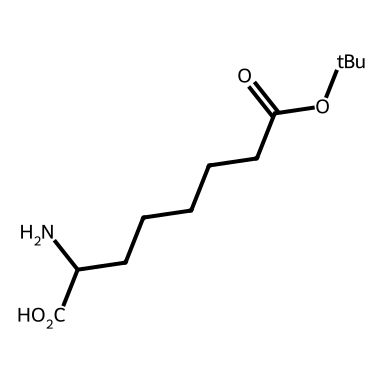 CC(C)(C)OC(=O)CCCCCC(N)C(=O)O